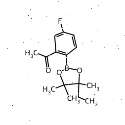 CCC1(C)OB(c2ccc(F)cc2C(C)=O)OC1(C)C